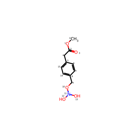 COC(=O)Cc1ccc(CON(O)O)cc1